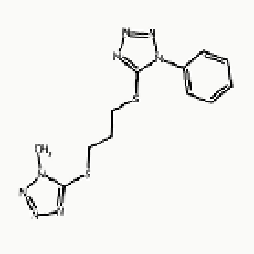 Cn1nnnc1SCCCSc1nnnn1-c1ccccc1